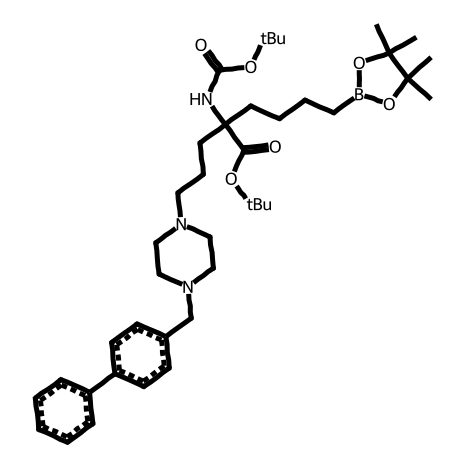 CC(C)(C)OC(=O)NC(CCCCB1OC(C)(C)C(C)(C)O1)(CCCN1CCN(Cc2ccc(-c3ccccc3)cc2)CC1)C(=O)OC(C)(C)C